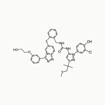 CSCC(C)(C)c1cc(NC(=O)NCc2ccccc2Sc2ccc3nnc(-c4cccc(OCCO)c4)n3c2)n(-c2ccc(O)c(Cl)c2)n1